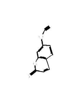 C#COc1ccc2ccc(=O)oc2c1